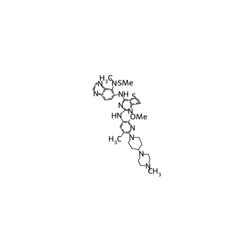 COc1nc(N2CCC(N3CCN(C)CC3)CC2)c(C)cc1Nc1nc(Nc2ccc3nccnc3c2N(C)SC)c2sccc2n1